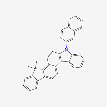 CC1(C)c2ccccc2-c2ccc3c(ccc4c3c3ccccc3n4-c3ccc4ccccc4c3)c21